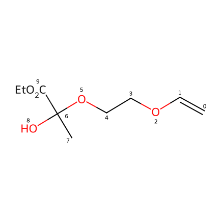 C=COCCOC(C)(O)C(=O)OCC